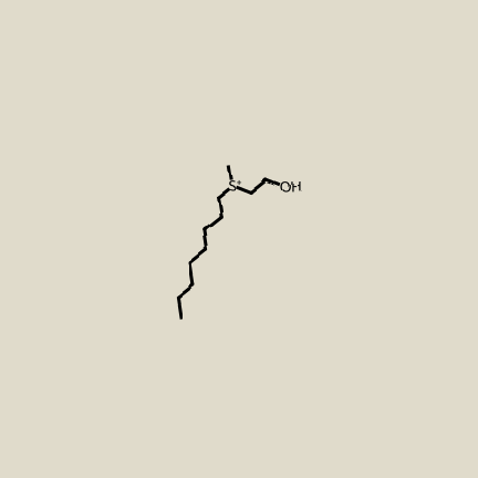 CCCCCCCC[S+](C)CCO